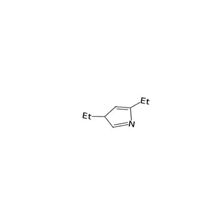 CCC1=CC(CC)C=N1